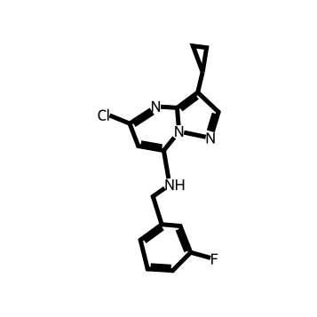 Fc1cccc(CNc2cc(Cl)nc3c(C4CC4)cnn23)c1